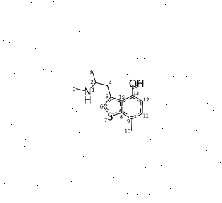 CNC(C)Cc1csc2c(C)ccc(O)c12